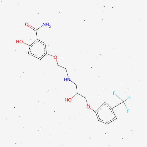 NC(=O)c1cc(OCCNCC(O)COc2cccc(C(F)(F)F)c2)ccc1O